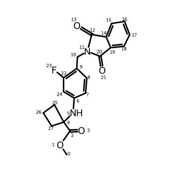 COC(=O)C1(Nc2ccc(CN3C(=O)c4ccccc4C3=O)c(F)c2)CCC1